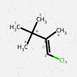 C/C(=C\Cl)C(C)(C)C